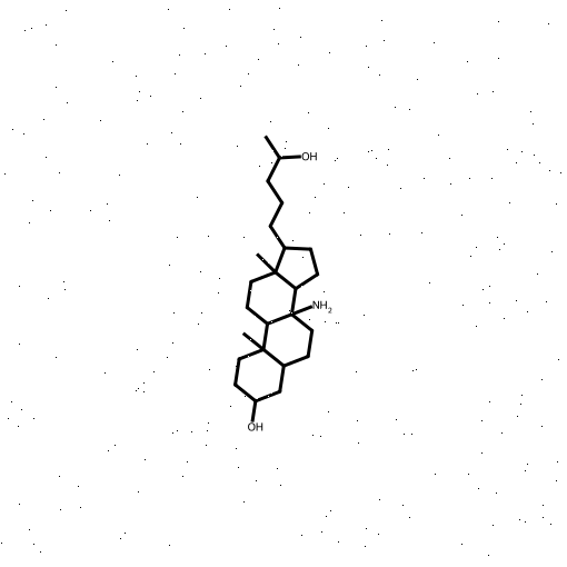 CC(O)CCCC1CCC2C1(C)CCC1C3(C)CCC(O)CC3CCC21N